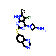 CCc1[nH]c2nc(Sc3ccc4cncnc4c3)nc(N3CC(N)C3)c2c1Cl